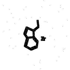 CC[C]1C=Cc2ccccc21.[Zr]